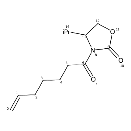 C=CCCCCC(=O)N1C(=O)OCC1C(C)C